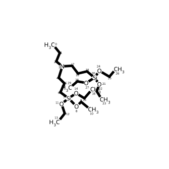 CCCN(CCC[Si](OCC)(OCC)OCC)CCC[Si](OCC)(OCC)OCC